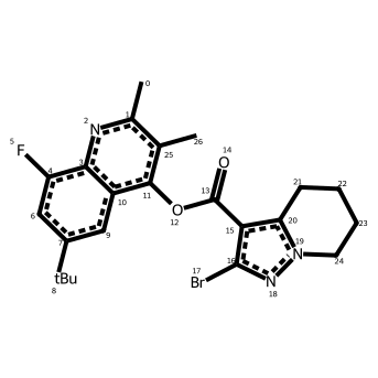 Cc1nc2c(F)cc(C(C)(C)C)cc2c(OC(=O)c2c(Br)nn3c2CCCC3)c1C